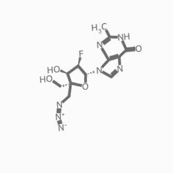 Cc1nc2c(ncn2[C@@H]2O[C@@](CO)(CN=[N+]=[N-])[C@@H](O)[C@H]2F)c(=O)[nH]1